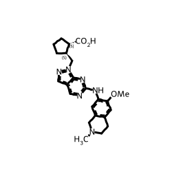 COc1cc2c(cc1Nc1ncc3cnn(C[C@H]4CCC[C@@H]4C(=O)O)c3n1)CN(C)CC2